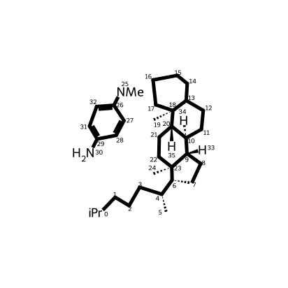 CC(C)CCC[C@@H](C)[C@H]1CC[C@H]2[C@@H]3CCC4CCCC[C@]4(C)[C@H]3CC[C@]12C.CNc1ccc(N)cc1